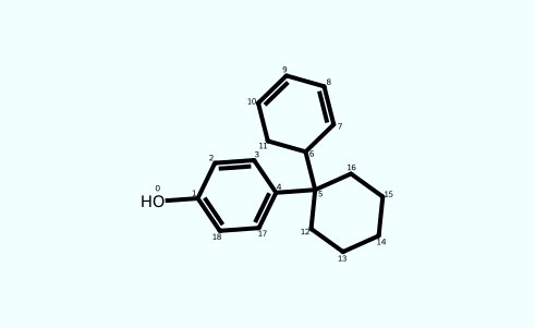 Oc1ccc(C2(C3C=CC=CC3)CCCCC2)cc1